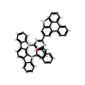 c1ccc(-c2nc(-c3cc4oc5cccc6c7ccccc7c(c3)c4c56)nc(-n3c4ccccc4c4ccc5c6ccccc6n(-c6ccccc6)c5c43)n2)cc1